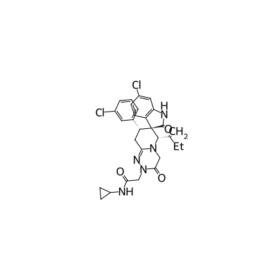 C=C(CC)[C@@H]1N2CC(=O)N(CC(=O)NC3CC3)N=C2C[C@H](c2cccc(Cl)c2)[C@@]12C(=O)Nc1cc(Cl)ccc12